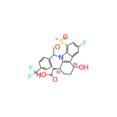 CC(c1ccc(C(F)(F)F)cc1)n1c2c(c3cc(F)cc(S(C)(=O)=O)c31)[C@@H](O)CC[C@H]2CC(=O)O